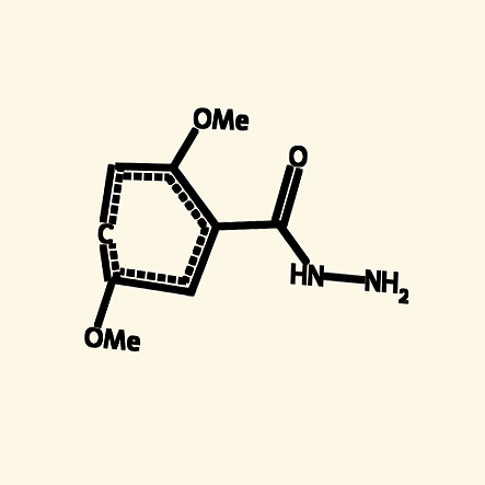 COc1ccc(OC)c(C(=O)NN)c1